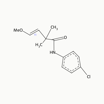 CO/C=C/C(C)(C)C(=O)Nc1ccc(Cl)cc1